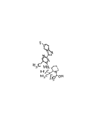 Cc1cnc(-c2cnc3ccc(F)cn23)nc1N[C@@H]1CCCN(C(=O)O)C1C(C)(C)C